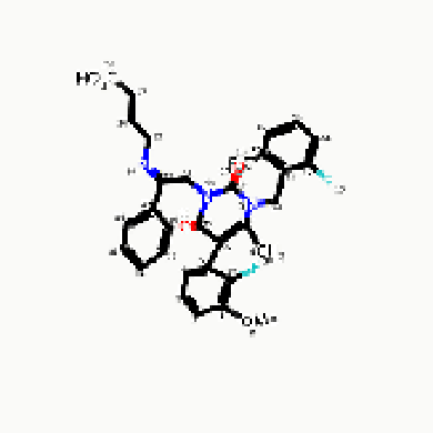 COc1cccc(-c2c(C)n(Cc3c(F)cccc3C(F)(F)F)c(=O)n(C/C(=N\CCCC(=O)O)c3ccccc3)c2=O)c1F